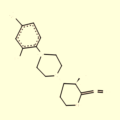 Cc1cc(C#N)ccc1N1CCN([C@H]2CCNC(=C=O)[C@@H]2C(=O)O)CC1